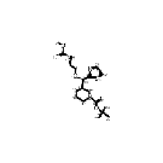 COC(=O)NCCO[C@@H](c1nccs1)C1CCCN(C(=O)OC(C)(C)C)C1